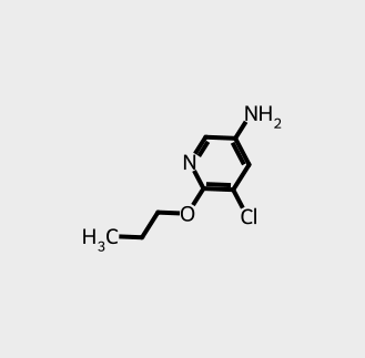 CCCOc1ncc(N)cc1Cl